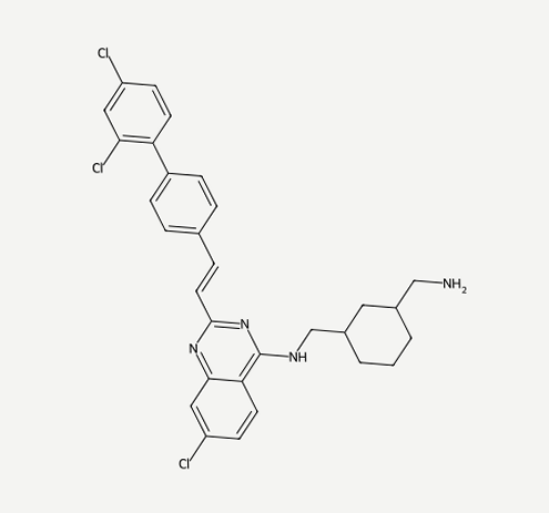 NCC1CCCC(CNc2nc(/C=C/c3ccc(-c4ccc(Cl)cc4Cl)cc3)nc3cc(Cl)ccc23)C1